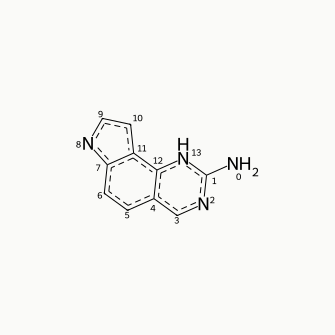 Nc1ncc2ccc3nccc3c2[nH]1